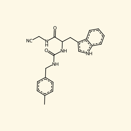 Cc1ccc(CNC(=O)NC(Cc2c[nH]c3ccccc23)C(=O)NCC#N)cc1